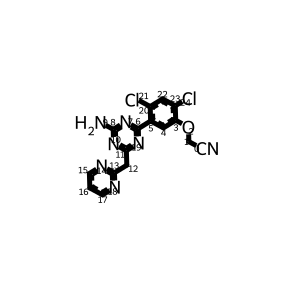 N#CCOc1cc(-c2nc(N)nc(Cc3ncccn3)n2)c(Cl)cc1Cl